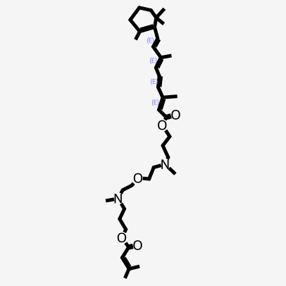 CC(C)=CC(=O)OCCCN(C)CCOCCN(C)CCCOC(=O)/C=C(C)/C=C/C=C(C)/C=C/C1=C(C)CCCC1(C)C